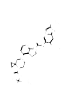 Cc1cn2cc(NC(=O)N3CCc4c(N5CCN(C(=O)OC(C)(C)C)C6(CC6)C5)ccnc43)c(C)cc2n1